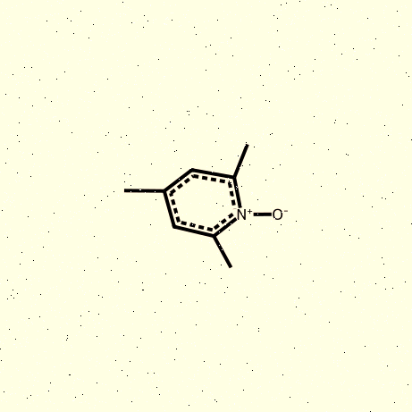 Cc1cc(C)[n+]([O-])c(C)c1